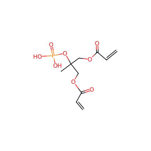 C=CC(=O)OCC(C)(COC(=O)C=C)OP(=O)(O)O